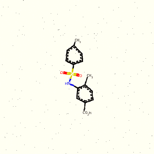 Cc1ccc(S(=O)(=O)Nc2cc(C(=O)O)ccc2C)cc1